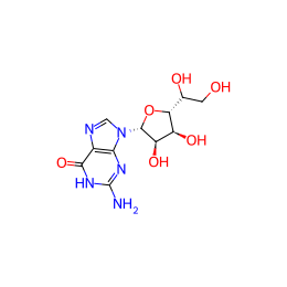 Nc1nc2c(ncn2[C@@H]2O[C@H](C(O)CO)[C@@H](O)[C@H]2O)c(=O)[nH]1